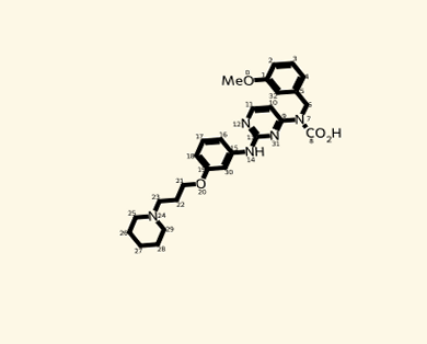 COc1cccc(CN(C(=O)O)c2ccnc(Nc3cccc(OCCCN4CCCCC4)c3)n2)c1